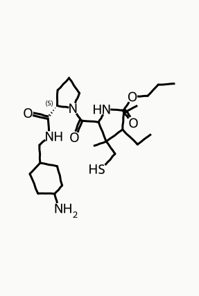 CCCOC(=O)NC(C(=O)N1CCC[C@H]1C(=O)NCC1CCC(N)CC1)C(C)(CS)C(CC)CC